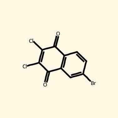 O=C1C(Cl)=C(Cl)C(=O)c2cc(Br)ccc21